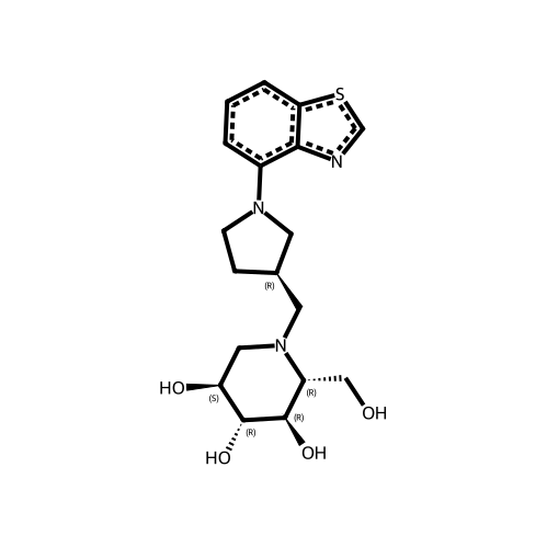 OC[C@@H]1[C@@H](O)[C@H](O)[C@@H](O)CN1C[C@H]1CCN(c2cccc3scnc23)C1